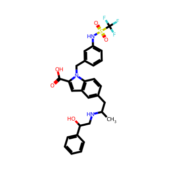 CC(Cc1ccc2c(c1)cc(C(=O)O)n2Cc1cccc(NS(=O)(=O)C(F)(F)F)c1)NCC(O)c1ccccc1